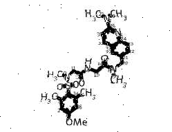 COc1cc(C)c(S(=O)(=O)N(C)CC(=O)NCC(=O)N(C)Cc2ccc3nc(N(C)C)ccc3c2)c(C)c1